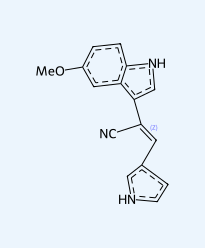 COc1ccc2[nH]cc(/C(C#N)=C/c3cc[nH]c3)c2c1